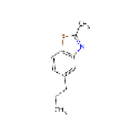 CCCc1ccc2sc(C)nc2c1